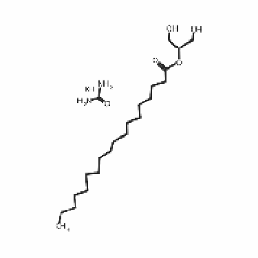 CCCCCCCCCCCCCCCCCC(=O)OC(CO)CO.NC(N)=O.[KH]